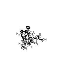 CC(=O)N[C@@H](CCCCN)C(=O)N[C@@H](C)C(=O)N[C@@H](C)C(=O)N[C@@H](CC(N)=O)C(=O)N[C@@H](CCN(C(=O)CO)[C@@H](c1cc(-c2cc(F)ccc2F)cn1Cc1ccccc1)C(C)(C)C)C(=O)NCCC(=O)N[C@@H](CCC(=O)O)C(=O)O.O=C(O)C(F)(F)F